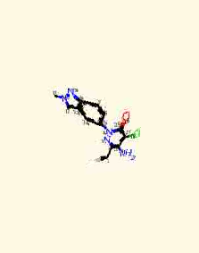 C=Cc1nn(-c2ccc3nn(C)cc3c2)c(=O)c(Cl)c1N